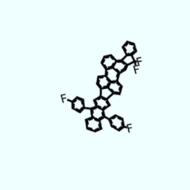 Fc1ccc(-c2c3ccccc3c(-c3ccc(F)cc3)c3cc4c(cc23)-c2ccc3c5cccc6c7c(cc(c8ccc-4c2c38)c65)C(F)(F)c2ccccc2-7)cc1